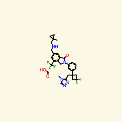 Cn1cnnc1CC1(c2cccc(N3Cc4c(cc(CNCC5(C)CC5)cc4C(F)(F)F)C3=O)c2)CC(F)(F)C1.O=CO